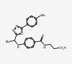 CCC(C)C(Nc1ccc(C(=O)NCCC(=O)O)cc1)c1nnc(-c2ccc(C(C)(C)C)cc2)o1